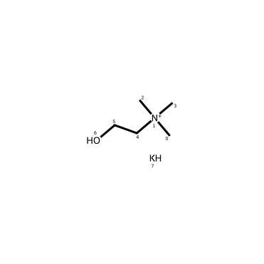 C[N+](C)(C)CCO.[KH]